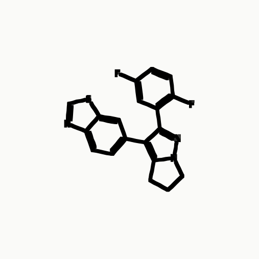 Fc1ccc(F)c(-c2nn3c(c2-c2ccc4ncsc4c2)CCC3)c1